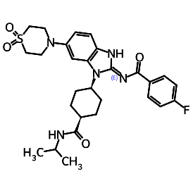 CC(C)NC(=O)[C@H]1CC[C@@H](n2/c(=N/C(=O)c3ccc(F)cc3)[nH]c3ccc(N4CCS(=O)(=O)CC4)cc32)CC1